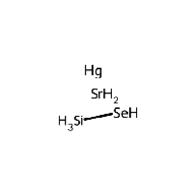 [Hg].[SiH3][SeH].[SrH2]